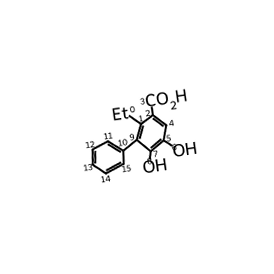 CCc1c(C(=O)O)cc(O)c(O)c1-c1ccccc1